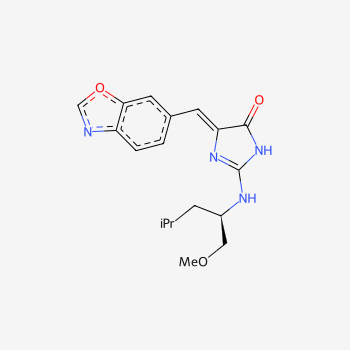 COC[C@@H](CC(C)C)NC1=N/C(=C\c2ccc3ncoc3c2)C(=O)N1